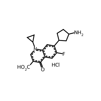 Cl.NC1CCC(c2cc3c(cc2F)c(=O)c(C(=O)O)cn3C2CC2)C1